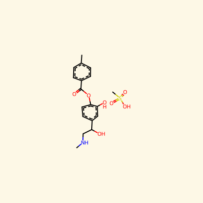 CNCC(O)c1ccc(OC(=O)c2ccc(C)cc2)c(O)c1.CS(=O)(=O)O